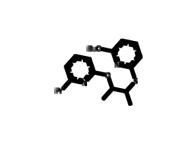 CC(C)COc1cccc(SC(C)C(C)Oc2cccc(C(C)C)n2)n1